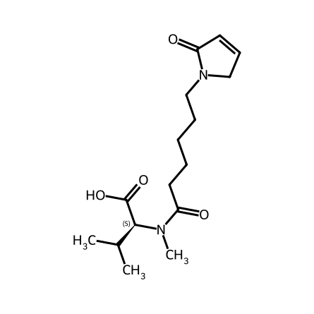 CC(C)[C@@H](C(=O)O)N(C)C(=O)CCCCCN1CC=CC1=O